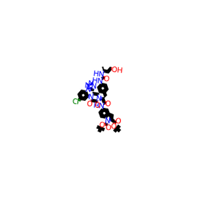 C[C@@H](CCO)NC(=O)Nc1ccc(C[C@@H](C(=O)Nc2ccc3c(c2)cc(C(=O)OC(C)(C)C)n3C(=O)OC(C)(C)C)N2CCN(c3cc(Cl)ccc3-n3cnnn3)C(=O)C2=O)cc1